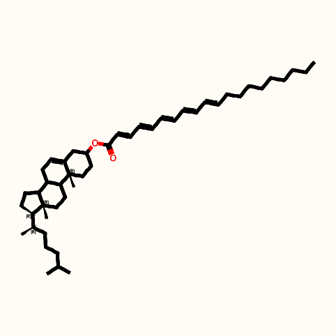 CCCCCCCCCC=CC=CC=CC=CC=CC(=O)OC1CC[C@@]2(C)C(=CCC3C2CC[C@@]2(C)C3CC[C@@H]2[C@H](C)CCCC(C)C)C1